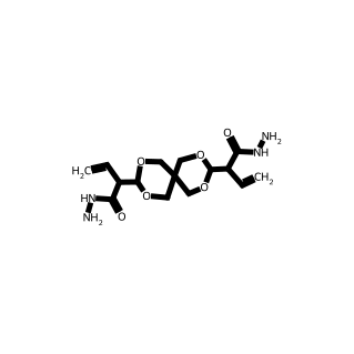 C=CC(C(=O)NN)C1OCC2(CO1)COC(C(C=C)C(=O)NN)OC2